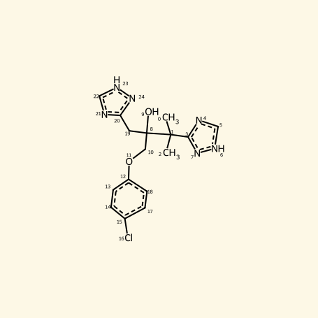 CC(C)(c1nc[nH]n1)C(O)(COc1ccc(Cl)cc1)Cc1nc[nH]n1